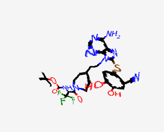 CC(C)(C)OC(=O)NC(C(=O)N1CCC(CCn2c(Sc3cc(O)c(O)cc3C#N)nc3c(N)ncnc32)CC1)C(F)(F)F